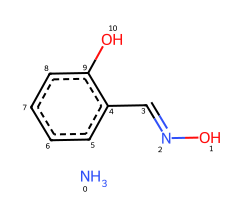 N.ON=Cc1ccccc1O